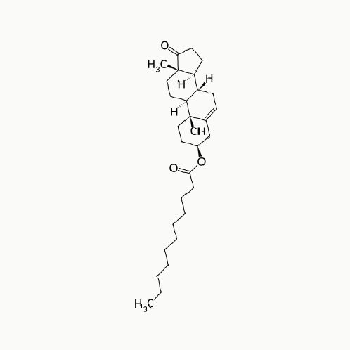 CCCCCCCCCCC(=O)O[C@H]1CC[C@@]2(C)C(=CC[C@@H]3[C@@H]2CC[C@]2(C)C(=O)CC[C@@H]32)C1